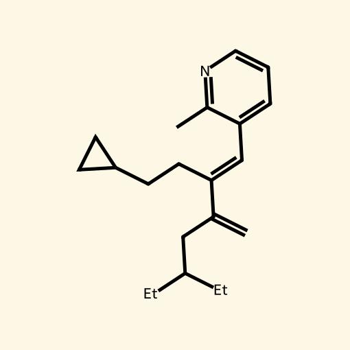 C=C(CC(CC)CC)/C(=C/c1cccnc1C)CCC1CC1